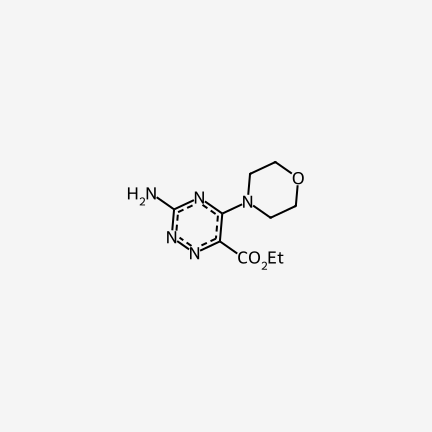 CCOC(=O)c1nnc(N)nc1N1CCOCC1